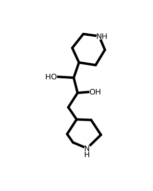 OC(CC1CCNCC1)C(O)C1CCNCC1